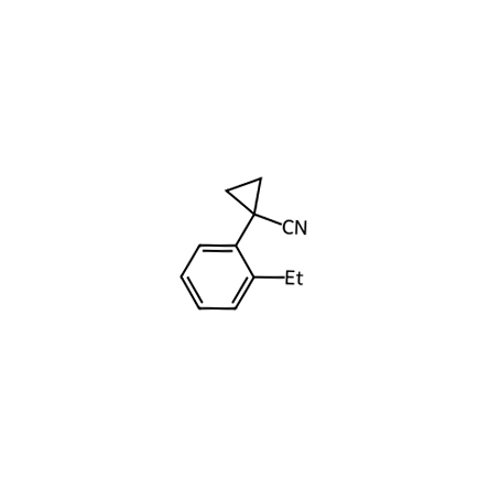 CCc1ccccc1C1(C#N)CC1